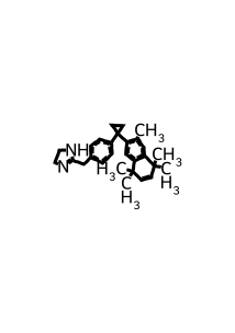 Cc1cc2c(cc1C1(c3ccc(CC4=NCCN4)cc3)CC1)C(C)(C)C=CC2(C)C